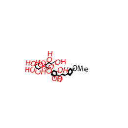 COc1ccc(/C=C/C(=O)c2c(O)cc(O[C@@H]3O[C@H](CO)[C@@H](O)[C@@H](O)[C@@H]3O[C@@H]3O[C@@H](C)[C@H](O)[C@H](O)[C@@H]3O)cc2O)cc1